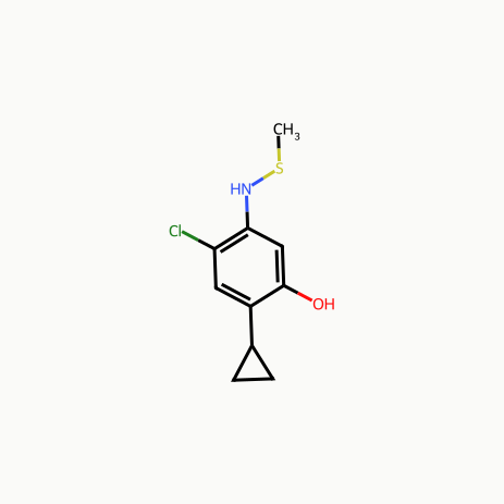 CSNc1cc(O)c(C2CC2)cc1Cl